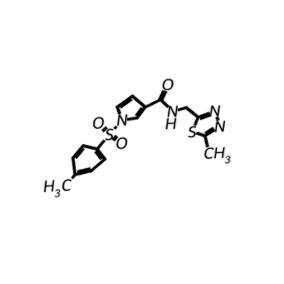 Cc1ccc(S(=O)(=O)n2ccc(C(=O)NCc3nnc(C)s3)c2)cc1